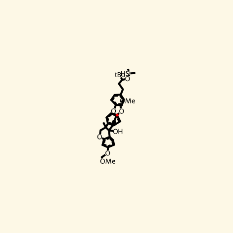 COCOc1ccc(C2(C)COc3cc(OCOC)ccc3C2(O)C#CCOc2ccc(CCC(O[SiH](C)C)C(C)(C)C)cc2)cc1